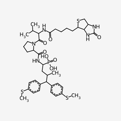 CSc1ccc(C(c2ccc(SC)cc2)C(C)CC(NC(=O)C2CCCN2C(=O)C(NC(=O)CCCCC2SCC3NC(=O)NC32)C(C)C)P(=O)(O)O)cc1